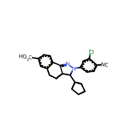 [C-]#[N+]c1ccc(N2N=C3c4ccc(C(=O)O)cc4CCC3C2C2CCCC2)cc1Cl